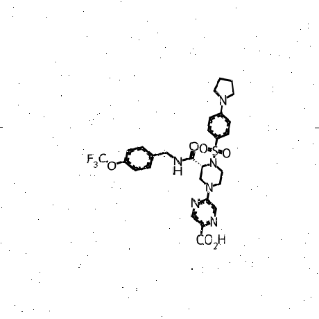 O=C(O)c1cnc(N2CCN(S(=O)(=O)c3ccc(N4CCCC4)cc3)[C@@H](C(=O)NCc3ccc(OC(F)(F)F)cc3)C2)cn1